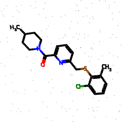 Cc1cccc(Cl)c1SCc1cccc(C(=O)N2CCC(C)CC2)n1